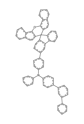 c1ccc(-c2cccc(-c3ccc(N(c4ccccc4)c4ccc(-c5ccc6c(c5)-c5ccccc5C65c6ccc7ccccc7c6Oc6c5ccc5ccccc65)cc4)cc3)c2)cc1